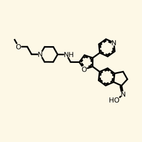 COCCN1CCC(NCc2cc(-c3ccncc3)c(-c3ccc4c(c3)CC/C4=N/O)o2)CC1